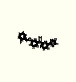 Fc1ccccc1COc1cccc(Nc2nccc(-c3nccs3)n2)c1